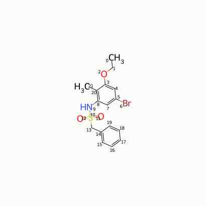 CCOc1cc(Br)cc(NS(=O)(=O)Cc2ccccc2)c1C